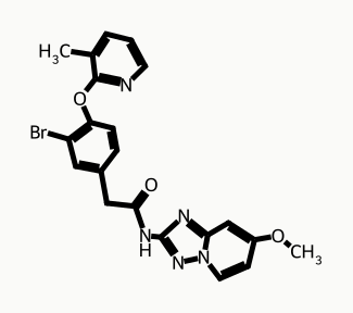 COc1ccn2nc(NC(=O)Cc3ccc(Oc4ncccc4C)c(Br)c3)nc2c1